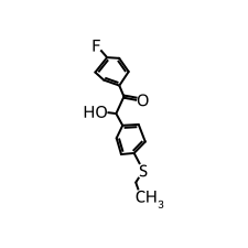 CCSc1ccc(C(O)C(=O)c2ccc(F)cc2)cc1